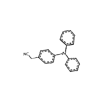 N#CCc1ccc(N(c2ccccc2)c2ccccc2)cc1